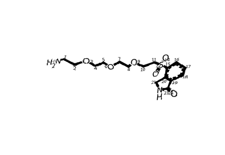 NCCOCCOCCOCCS(=O)(=O)c1cccc2c1CNC2=O